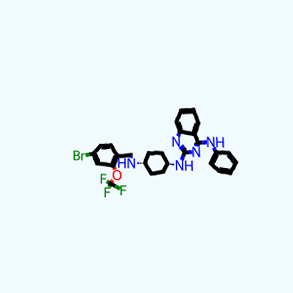 FC(F)(F)Oc1cc(Br)ccc1CN[C@H]1CC[C@@H](Nc2nc(Nc3ccccc3)c3ccccc3n2)CC1